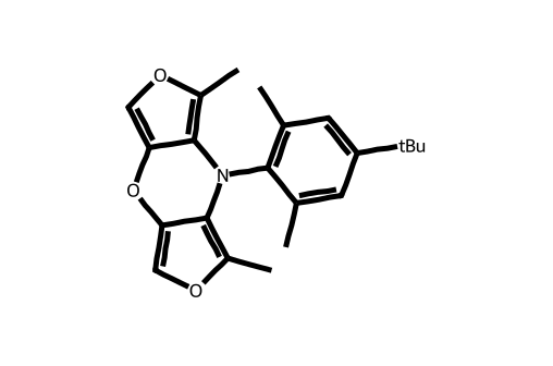 Cc1cc(C(C)(C)C)cc(C)c1N1c2c(coc2C)Oc2coc(C)c21